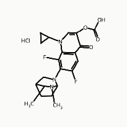 CC1C2CCC(N(c3c(F)cc4c(=O)c(OC(=O)O)cn(C5CC5)c4c3F)C2)N1C.Cl